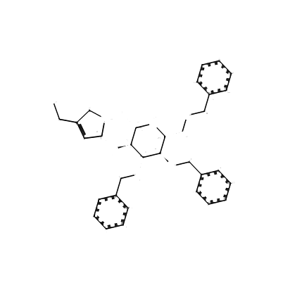 CCC1=C[C@@H](O[C@@H]2[C@@H](OCc3ccccc3)[C@H](OCc3ccccc3)[C@@H](COCc3ccccc3)O[C@H]2C)OC1